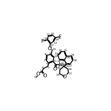 COC(=O)CCc1ccc(COc2cc(F)ccc2F)cc1C(=O)NC1(c2cccc3ccccc23)CCOCC1